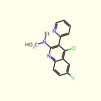 CCN(C(=O)O)c1nc2ccc(F)cc2c(Cl)c1-c1ccccn1